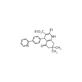 CCOC(=O)C1=C(CC)NC2=C(C(=O)CC(C)(C)C2)C1c1ccc(-c2ccccn2)cc1